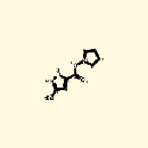 CC(C)(C)c1cc(C(=O)ON2CCCC2)on1